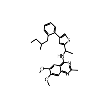 CCC(C)Cc1ccccc1-c1csc(C(C)Nc2nc(C)nc3cc(OC)c(OC)cc23)c1